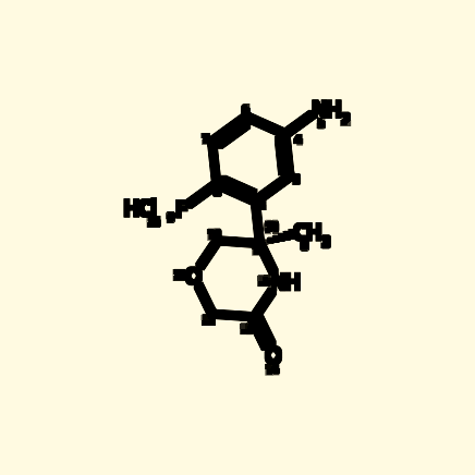 C[C@@]1(c2cc(N)ccc2F)COCC(=O)N1.Cl